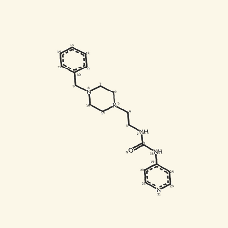 O=C(NCCN1CCN(Cc2ccccc2)CC1)Nc1ccncc1